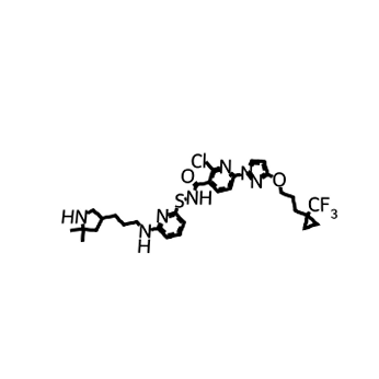 CC1(C)CC(CCCNc2cccc(SNC(=O)c3ccc(-n4ccc(OCCCC5(C(F)(F)F)CC5)n4)nc3Cl)n2)CN1